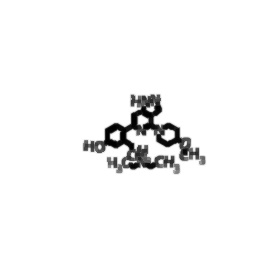 CCNCC.CCc1cc(O)ccc1-c1cc2[nH]ncc2c(N2CCC(OC)CC2)n1